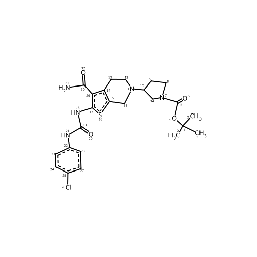 CC(C)(C)OC(=O)N1CCC(N2CCc3c(sc(NC(=O)Nc4ccc(Cl)cc4)c3C(N)=O)C2)C1